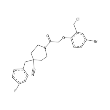 N#CC1(Cc2ccc(F)cc2)CCN(C(=O)COc2ccc(Br)cc2CCl)CC1